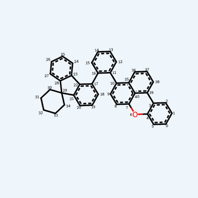 c1ccc2c(c1)Oc1ccc(-c3ccccc3-c3cccc4c3-c3ccccc3C43CCCCC3)c3cccc-2c13